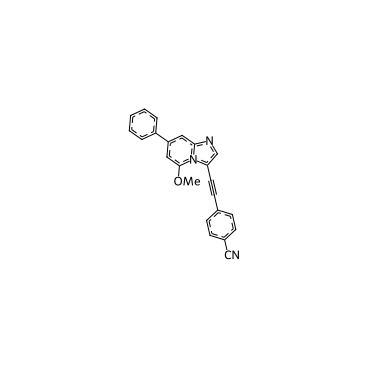 COc1cc(-c2ccccc2)cc2ncc(C#Cc3ccc(C#N)cc3)n12